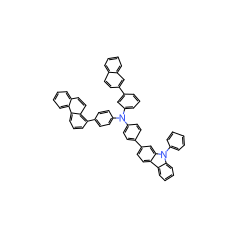 c1ccc(-n2c3ccccc3c3ccc(-c4ccc(N(c5ccc(-c6cccc7c6ccc6ccccc67)cc5)c5cccc(-c6ccc7ccccc7c6)c5)cc4)cc32)cc1